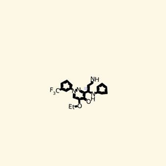 CCOc1cn(-c2cccc(C(F)(F)F)c2)nc(/C(=C/C=N)Nc2ccccc2)c1=O